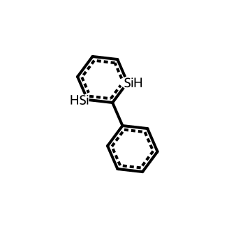 c1ccc(-c2[siH]ccc[siH]2)cc1